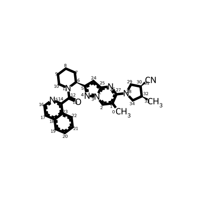 Cc1cn2nc([C@@H]3CCCCN3C(=O)c3nccc4ccccc34)cc2nc1N1C[C@@H](C#N)[C@@H](C)C1